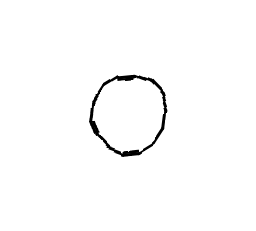 C1=CCCC=CCCCCCC=CC1